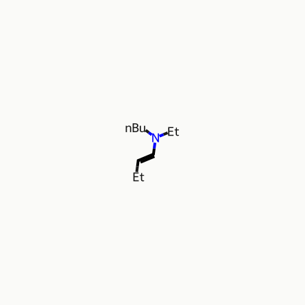 CCC=CN(CC)CCCC